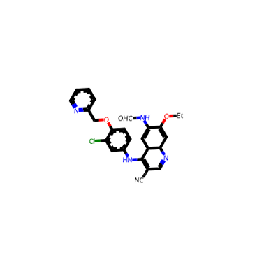 CCOC1=CC2N=CC(C#N)=C(Nc3ccc(OCc4ccccn4)c(Cl)c3)C2C=C1NC=O